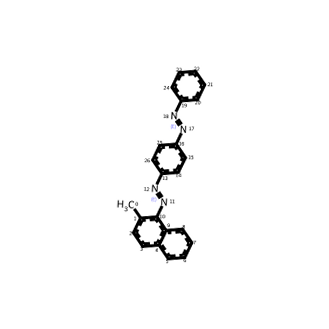 Cc1ccc2ccccc2c1/N=N/c1ccc(/N=N/c2ccccc2)cc1